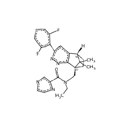 CCN(C[C@@]12CC[C@@H](c3cc(-c4c(F)cccc4F)nnc31)C2(C)C)C(=O)c1cnccn1